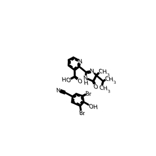 CC(C)C1(C)N=C(c2ncccc2C(=O)O)NC1=O.N#Cc1cc(Br)c(O)c(Br)c1